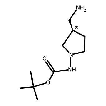 CC(C)(C)OC(=O)NN1CC[C@H](CN)C1